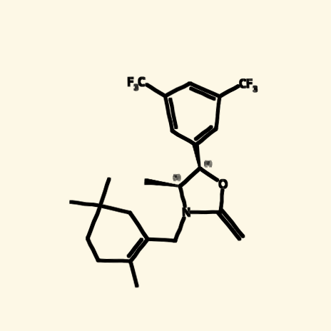 C=C1O[C@H](c2cc(C(F)(F)F)cc(C(F)(F)F)c2)[C@H](C)N1CC1=C(C)CCC(C)(C)C1